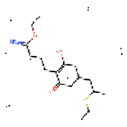 CCOC(=N)CCCC1=C(O)CC(CC(C)SCC)CC1=O